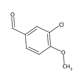 COc1ccc([C]=O)cc1Cl